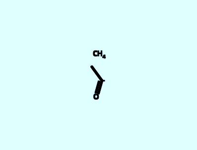 C.C[C]=O